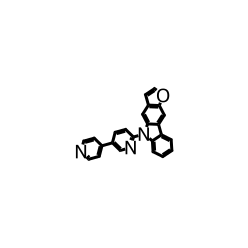 c1ccc2c(c1)c1cc3occc3cc1n2-c1ccc(-c2ccncc2)cn1